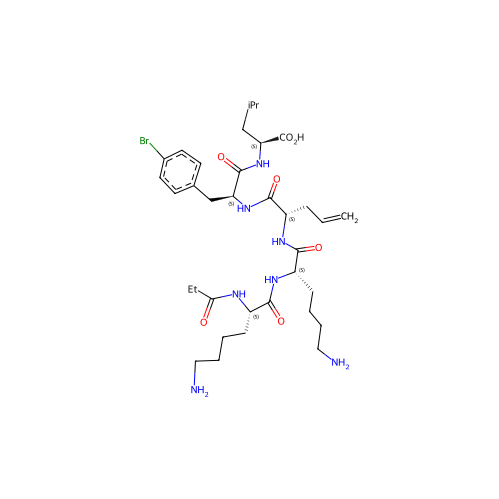 C=CC[C@H](NC(=O)[C@H](CCCCN)NC(=O)[C@H](CCCCN)NC(=O)CC)C(=O)N[C@@H](Cc1ccc(Br)cc1)C(=O)N[C@@H](CC(C)C)C(=O)O